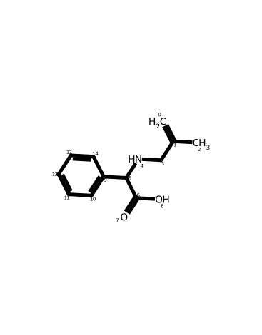 C=C(C)CNC(C(=O)O)c1ccccc1